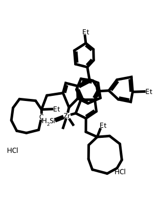 CCc1ccc(-c2cccc3c2C=C(CC2(CC)CCCCCCCC2)[CH]3[Zr]([CH3])([CH3])(=[SiH2])[CH]2C(CC3(CC)CCCCCCCC3)=Cc3c(-c4ccc(CC)cc4)cccc32)cc1.Cl.Cl